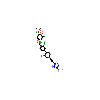 CCCc1cnc(C#Cc2ccc(-c3cc(F)c(C(F)(F)Oc4cc(F)c(OC(F)(F)F)c(F)c4)c(F)c3)c(F)c2)nc1